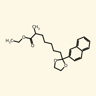 CCOC(=O)C(C)CCCCCC1(c2ccc3ccccc3c2)OCCO1